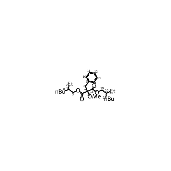 CCCCC(CC)COC(=O)C(Cc1ccccc1)(OC)C(=O)OCC(CC)CCCC